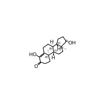 C[C@]12CC[C@H]3[C@@H](CCC4=C(O)C(=O)CC[C@@]43C)[C@@H]1CC[C@@H]2O